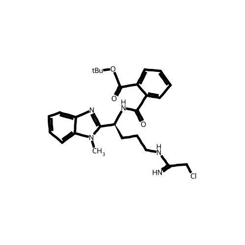 Cn1c([C@H](CCCNC(=N)CCl)NC(=O)c2ccccc2C(=O)OC(C)(C)C)nc2ccccc21